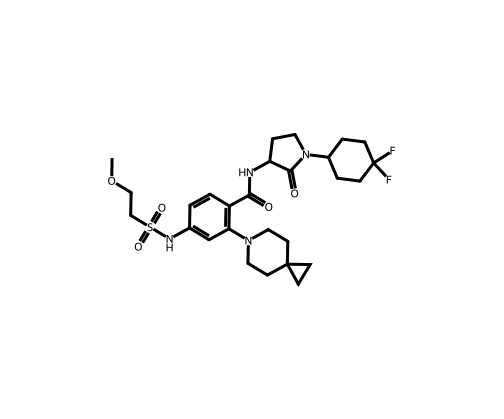 COCCS(=O)(=O)Nc1ccc(C(=O)NC2CCN(C3CCC(F)(F)CC3)C2=O)c(N2CCC3(CC2)CC3)c1